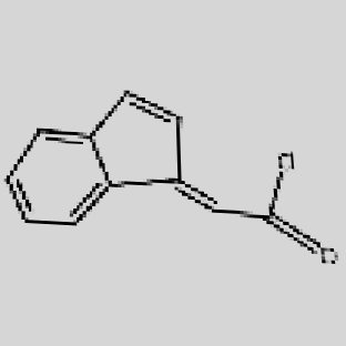 O=C(Cl)/C=C1\C=Cc2ccccc21